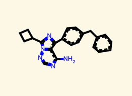 Nc1ncnn2c(C3CCC3)nc(-c3ccc(Cc4ccccc4)cc3)c12